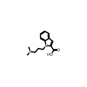 CN(C)CCCn1c(C(=O)O)cc2ccccc21